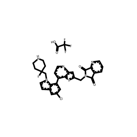 O=C(O)C(F)(F)F.O=C1c2cccnc2C(=O)N1Cc1cc2nccc(-c3cc(Cl)cc4ccn(CC5(F)CCNCC5)c34)c2s1